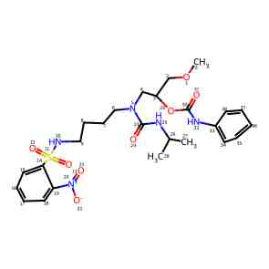 COCC(CN(CCCCNS(=O)(=O)c1ccccc1[N+](=O)[O-])C(=O)NC(C)C)OC(=O)Nc1ccccc1